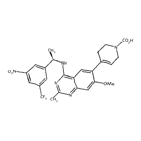 COc1cc2nc(C)nc(N[C@H](C)c3cc([N+](=O)[O-])cc(C(F)(F)F)c3)c2cc1C1=CCN(C(=O)O)CC1